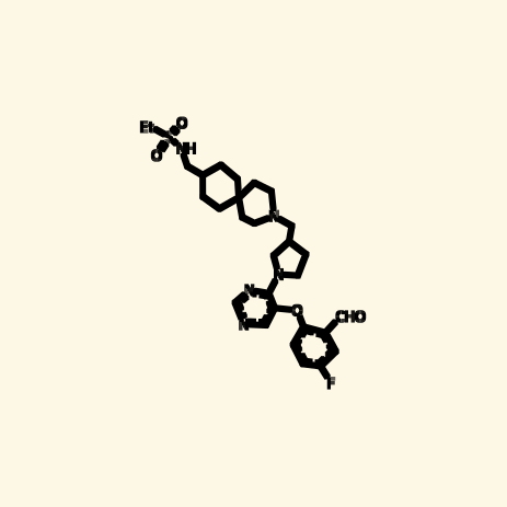 CCS(=O)(=O)NCC1CCC2(CC1)CCN(CC1CCN(c3ncncc3Oc3ccc(F)cc3C=O)C1)CC2